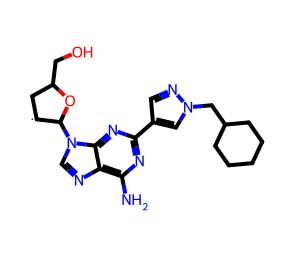 Nc1nc(-c2cnn(CC3CCCCC3)c2)nc2c1ncn2C1[CH]CC(CO)O1